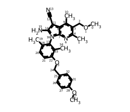 COCc1c(C)nc2c(c1C)c(C#N)c(N)n2-c1c(C)ccc(OCc2ccc(OC)cc2)c1C